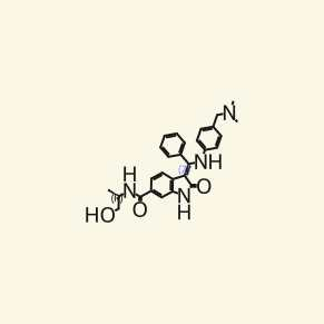 C[C@H](CO)NC(=O)c1ccc2c(c1)NC(=O)/C2=C(\Nc1ccc(CN(C)C)cc1)c1ccccc1